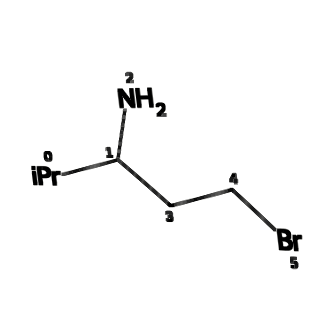 CC(C)C(N)CCBr